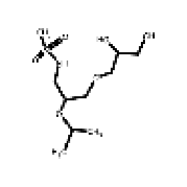 CC(C)OC(CNS(C)(=O)=O)COCC(O)CO